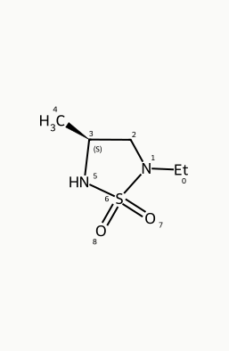 CCN1C[C@H](C)NS1(=O)=O